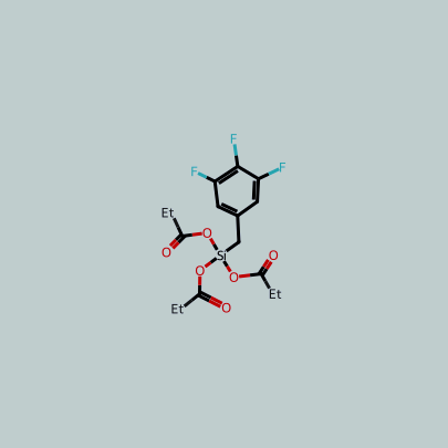 CCC(=O)O[Si](Cc1cc(F)c(F)c(F)c1)(OC(=O)CC)OC(=O)CC